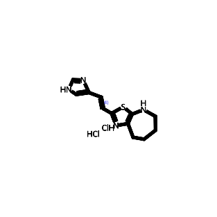 C(=C\c1nc2c(s1)NCCCC2)/c1c[nH]cn1.Cl.Cl